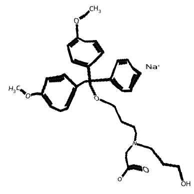 COc1ccc(C(OCCCN(CCCO)CC(=O)[O-])(c2ccccc2)c2ccc(OC)cc2)cc1.[Na+]